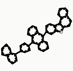 c1ccc2c(-c3ccc(-c4c5ccccc5c(-c5ccc6c(c5)oc5ccc7ccccc7c56)c5ccccc45)cc3)cccc2c1